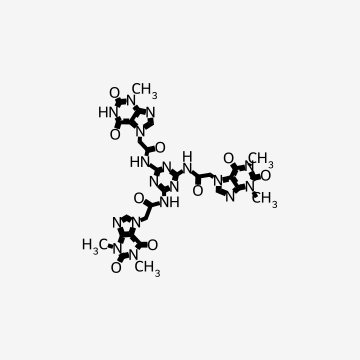 Cn1c(=O)c2c(ncn2CC(=O)Nc2nc(NC(=O)Cn3cnc4c3c(=O)[nH]c(=O)n4C)nc(NC(=O)Cn3cnc4c3c(=O)n(C)c(=O)n4C)n2)n(C)c1=O